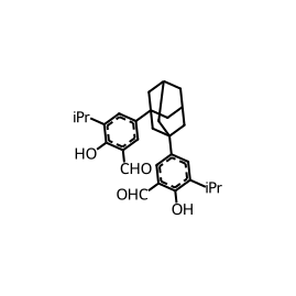 CC(C)c1cc(C23CC4CC(C2)CC(c2cc(C=O)c(O)c(C(C)C)c2)(C4)C3)cc(C=O)c1O